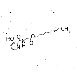 CCCCCCCCCOC(=O)CNC(=O)c1ncccc1O